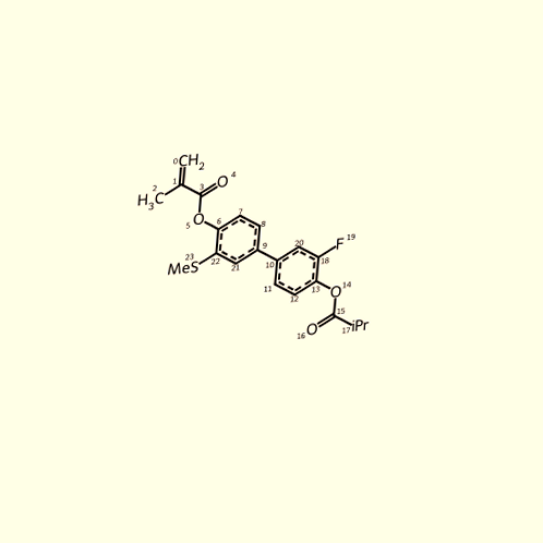 C=C(C)C(=O)Oc1ccc(-c2ccc(OC(=O)C(C)C)c(F)c2)cc1SC